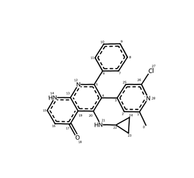 Cc1cc(-c2c(-c3ccccc3)nc3[nH]ccc(=O)c3c2NC2CC2)cc(Cl)n1